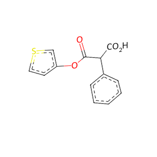 O=C(O)C(C(=O)Oc1ccsc1)c1ccccc1